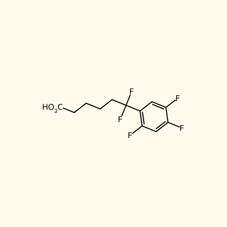 O=C(O)CCCCC(F)(F)c1cc(F)c(F)cc1F